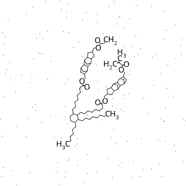 C=CC(=O)OCC1CC2C(C1)C1CC2C2C3CC(COC(=O)CCCCCCCC4CCC(CCCCCC)C(CCCCCCCC)C4CCCCCCCC(=O)OCC4CC5C(C4)C4CC5C5C6CC(COC(=O)C(=C)C)C(C6)C45)C(C3)C12